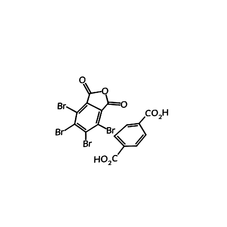 O=C(O)c1ccc(C(=O)O)cc1.O=C1OC(=O)c2c(Br)c(Br)c(Br)c(Br)c21